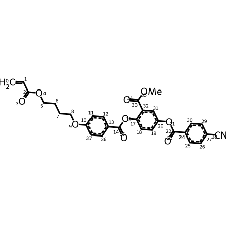 C=CC(=O)OCCCCOc1ccc(C(=O)Oc2ccc(OC(=O)c3ccc(C#N)cc3)cc2C(=O)OC)cc1